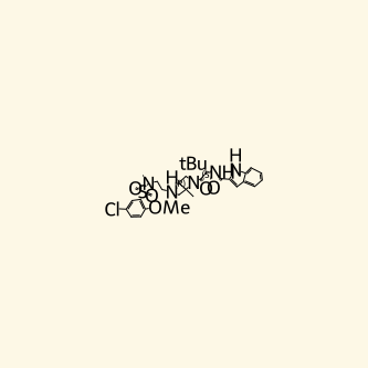 COc1ccc(Cl)cc1S(=O)(=O)N(C)CCN1CC2(C)[C@H]1CN2C(=O)[C@@H](NC(=O)c1cc2ccccc2[nH]1)C(C)(C)C